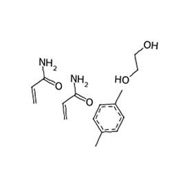 C=CC(N)=O.C=CC(N)=O.Cc1ccc(C)cc1.OCCO